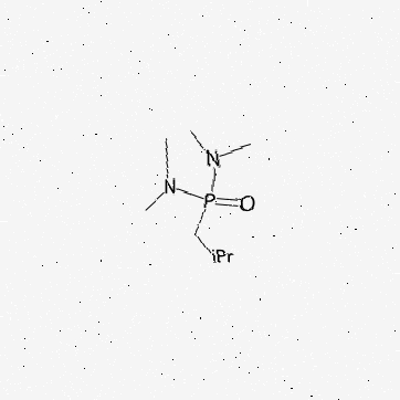 CC(C)CP(=O)(N(C)C)N(C)C